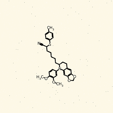 COc1ccc(N2c3cc4c(cc3CCC2CCCCCC(C#N)Sc2ccc(C)cc2)OCO4)cc1OC